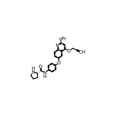 C#CCOc1cc(CCC)nc2ccc(Oc3ccc(NC(=O)[C@@H]4CCCN4)cc3)cc12